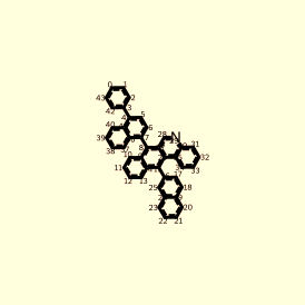 c1ccc(-c2ccc(-c3c4ccccc4c(-c4ccc5ccccc5c4)c4c3cnc3ccccc34)c3ccccc23)cc1